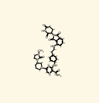 CN1CCN([C@@H]2CCCN(c3cnc(C(N)=O)c(Nc4ccc(CCNc5cccc6c5C(=O)N(C5CCC(=O)NC5=O)C6=O)cc4)n3)C2)C1=O